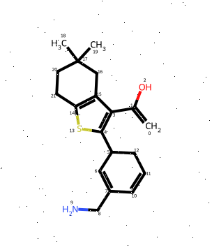 C=C(O)c1c(C2C=C(CN)C=CC2)sc2c1CC(C)(C)CC2